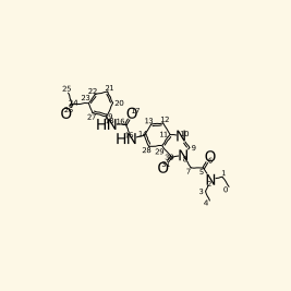 CCN(CC)C(=O)Cn1cnc2ccc(NC(=O)Nc3cccc(C(C)=O)c3)cc2c1=O